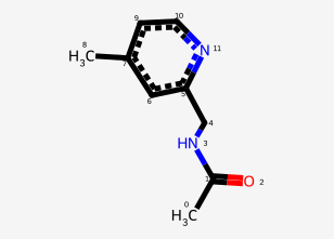 CC(=O)NCc1cc(C)ccn1